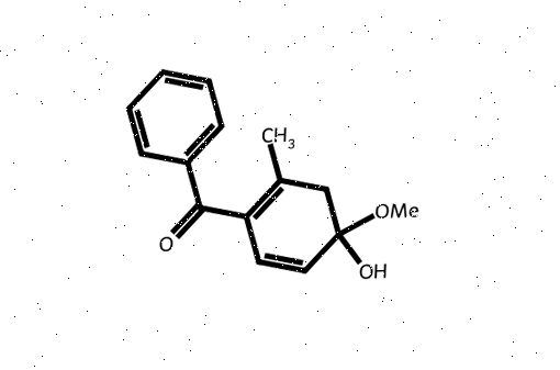 COC1(O)C=CC(C(=O)c2ccccc2)=C(C)C1